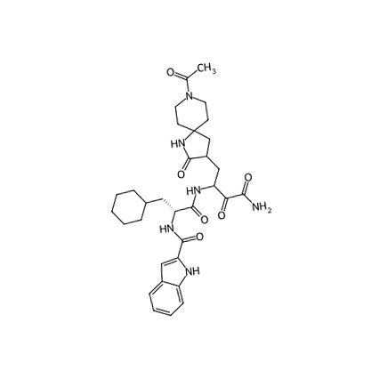 CC(=O)N1CCC2(CC1)CC(CC(NC(=O)[C@@H](CC1CCCCC1)NC(=O)c1cc3ccccc3[nH]1)C(=O)C(N)=O)C(=O)N2